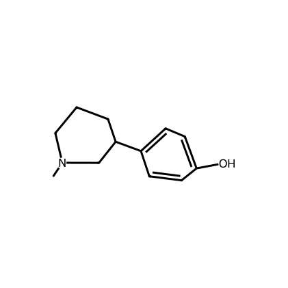 CN1CCCC(c2ccc(O)cc2)C1